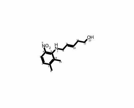 Cc1ccc([N+](=O)[O-])c(NC/C=C/CCO)c1C